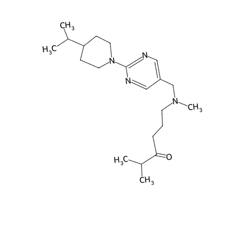 CC(C)C(=O)CCCN(C)Cc1cnc(N2CCC(C(C)C)CC2)nc1